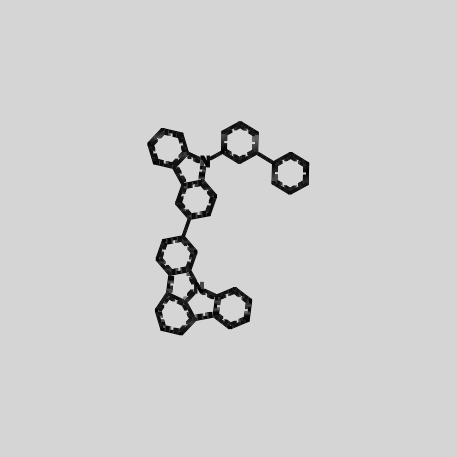 c1ccc(-c2cccc(-n3c4ccccc4c4cc(-c5ccc6c7cccc8c9ccccc9n(c6c5)c87)ccc43)c2)cc1